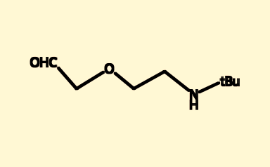 CC(C)(C)NCCOCC=O